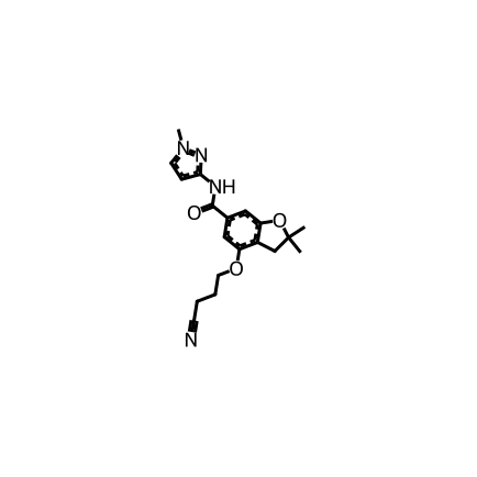 Cn1ccc(NC(=O)c2cc(OCCCC#N)c3c(c2)OC(C)(C)C3)n1